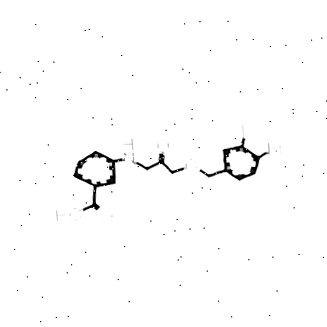 O=C(CNc1cccc(C(=O)O)c1)COCc1ccc(Br)c(F)c1